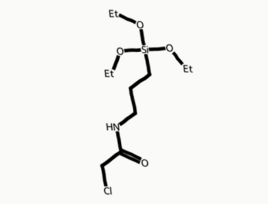 CCO[Si](CCCNC(=O)CCl)(OCC)OCC